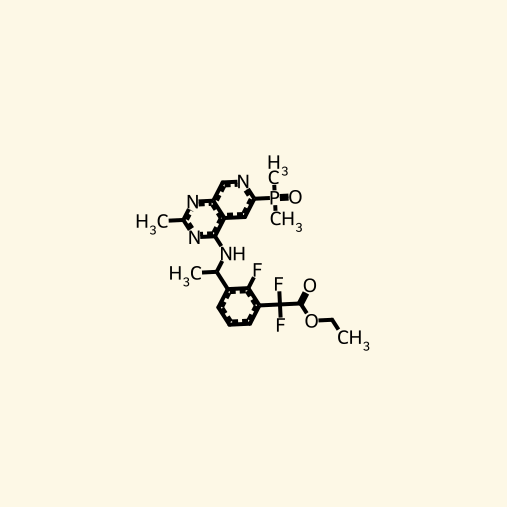 CCOC(=O)C(F)(F)c1cccc(C(C)Nc2nc(C)nc3cnc(P(C)(C)=O)cc23)c1F